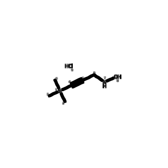 C[Si](C)(C)C#CCNO.Cl